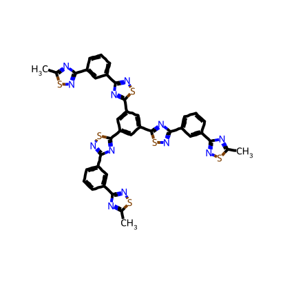 Cc1nc(-c2cccc(-c3nsc(-c4cc(-c5nc(-c6cccc(-c7nsc(C)n7)c6)ns5)cc(-c5nc(-c6cccc(-c7nsc(C)n7)c6)ns5)c4)n3)c2)ns1